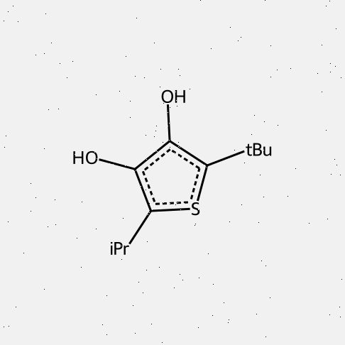 CC(C)c1sc(C(C)(C)C)c(O)c1O